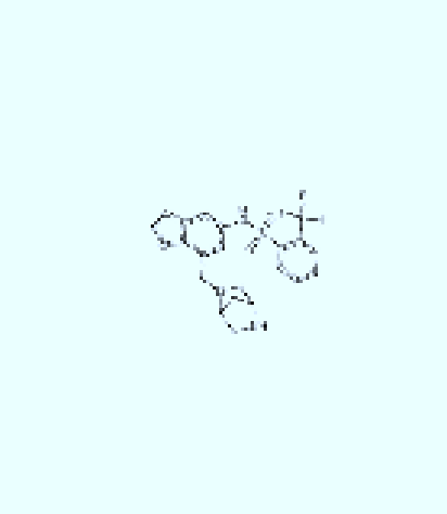 O=S(=O)(Nc1cc(CN2CC3CC2CN3)c2occc2c1)c1ccccc1C(F)(F)F